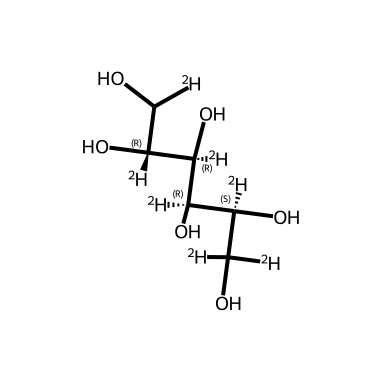 [2H]C(O)[C@@]([2H])(O)[C@@]([2H])(O)[C@]([2H])(O)[C@@]([2H])(O)C([2H])([2H])O